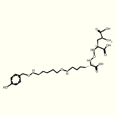 CC(C[C@H](NON[C@@H](CCCCNOCCCCCNOCc1ccc(O)cc1)C(=O)O)C(=O)O)C(=O)O